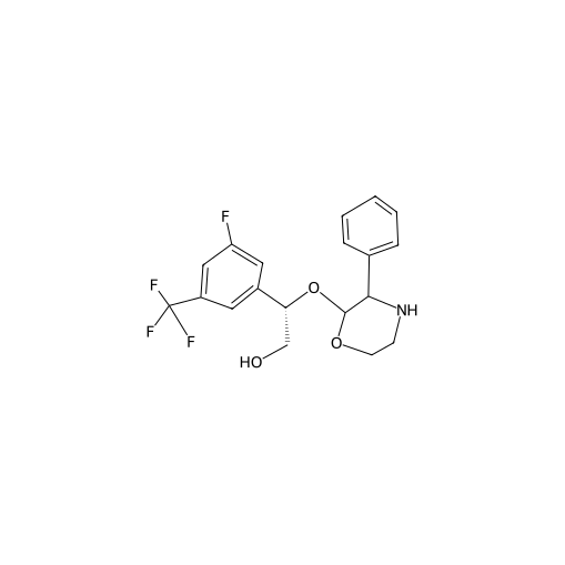 OC[C@@H](OC1OCCNC1c1ccccc1)c1cc(F)cc(C(F)(F)F)c1